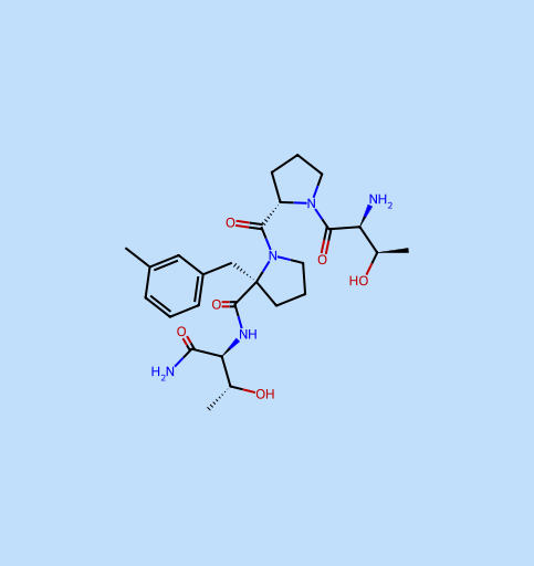 Cc1cccc(C[C@@]2(C(=O)N[C@H](C(N)=O)[C@@H](C)O)CCCN2C(=O)[C@@H]2CCCN2C(=O)[C@@H](N)[C@@H](C)O)c1